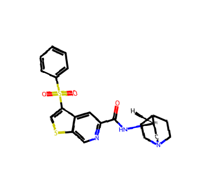 O=C(N[C@H]1CN2CCC1CC2)c1cc2c(S(=O)(=O)c3ccccc3)csc2cn1